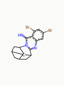 N=c1c2c(Br)cc(Br)cc2nc2n1C1CC3CC(CC2C3)C1